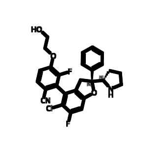 N#Cc1ccc(OCCO)c(F)c1-c1c(Cl)c(F)cc2c1C[C@](c1ccccc1)([C@@H]1CCCN1)O2